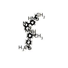 C=CC(=O)Nc1cccc(-c2cncc3cnc(Nc4ccc(N5CCN(C(C)=O)CC5)cc4OC)nc23)c1